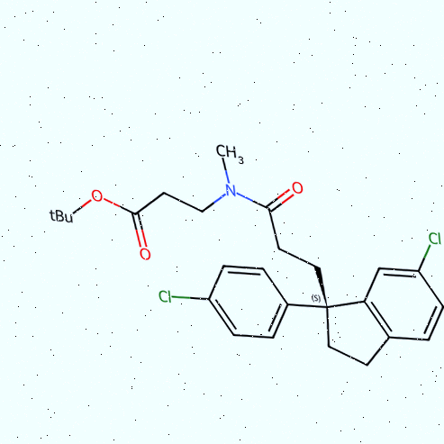 CN(CCC(=O)OC(C)(C)C)C(=O)CC[C@]1(c2ccc(Cl)cc2)CCc2ccc(Cl)cc21